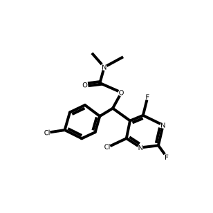 CN(C)C(=O)OC(c1ccc(Cl)cc1)c1c(F)nc(F)nc1Cl